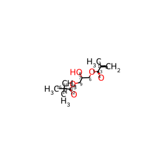 C=C(C)C(=O)OCC(O)COC(=O)C(C)(C)C